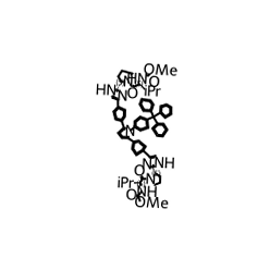 COC(=O)N[C@H](C(=O)N1CCC[C@H]1c1nc(-c2ccc(-c3ccc(-c4ccc(-c5c[nH]c([C@@H]6CCCN6C(=O)[C@@H](NC(=O)OC)C(C)C)n5)cc4)n3-c3ccc(C(c4ccccc4)(c4ccccc4)c4ccccc4)cc3)cc2)c[nH]1)C(C)C